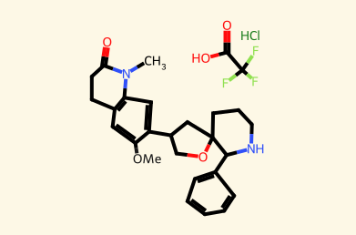 COc1cc2c(cc1C1COC3(CCCNC3c3ccccc3)C1)N(C)C(=O)CC2.Cl.O=C(O)C(F)(F)F